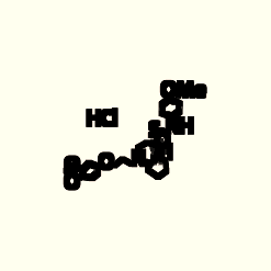 COc1ccc(NC(=S)O[C@H]2CCN(CCCOc3ccc4c(c3)OCO4)C3CCCC[C@H]32)cc1.Cl